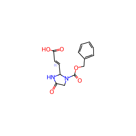 O=C(O)/C=C/C1NC(=O)CN1C(=O)OCc1ccccc1